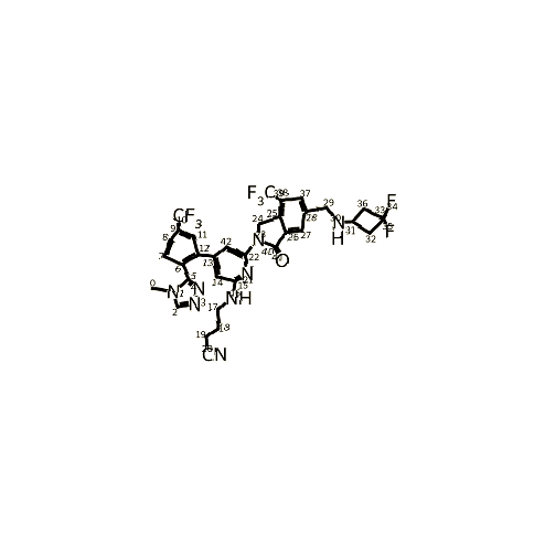 Cn1cnnc1-c1ccc(C(F)(F)F)cc1-c1cc(NCCCC#N)nc(N2Cc3c(cc(CNC4CC(F)(F)C4)cc3C(F)(F)F)C2=O)c1